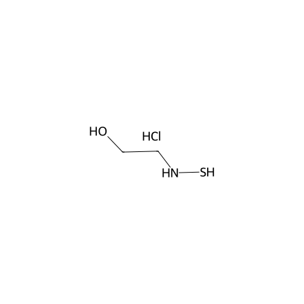 Cl.OCCNS